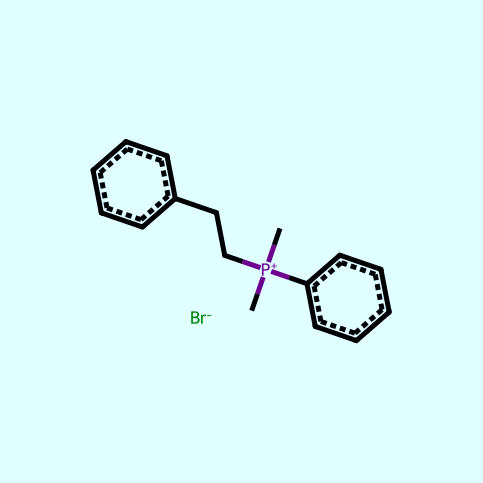 C[P+](C)(CCc1ccccc1)c1ccccc1.[Br-]